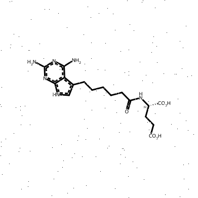 Nc1nc(N)c2c(CCCCCC(=O)N[C@@H](CCC(=O)O)C(=O)O)c[nH]c2n1